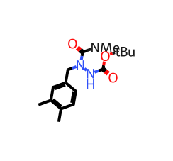 CNC(=O)N(Cc1ccc(C)c(C)c1)NC(=O)OC(C)(C)C